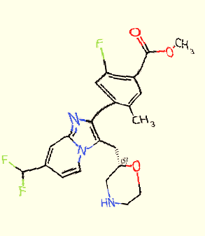 COC(=O)c1cc(C)c(-c2nc3cc(C(F)F)ccn3c2C[C@H]2CNCCO2)cc1F